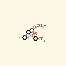 O=C(O)CO[C@@H]1Cc2ccc(-c3cc(F)ccc3F)cc2N(S(=O)(=O)c2cccc(C(F)(F)F)c2)C1